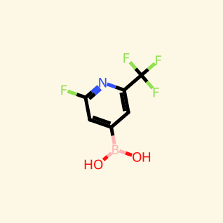 OB(O)c1cc(F)nc(C(F)(F)F)c1